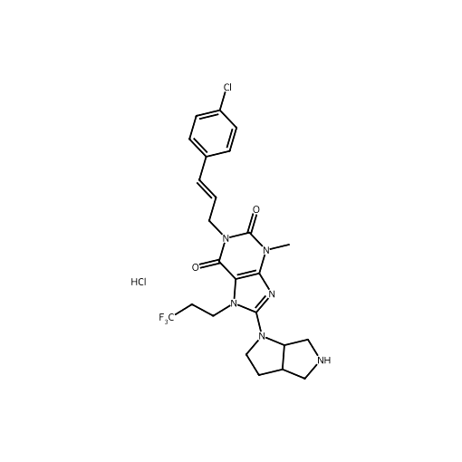 Cl.Cn1c(=O)n(CC=Cc2ccc(Cl)cc2)c(=O)c2c1nc(N1CCC3CNCC31)n2CCC(F)(F)F